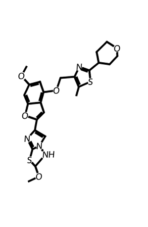 COc1cc(OCc2nc(C3CCOCC3)sc2C)c2cc(-c3cn4c(n3)SC(OC)N4)oc2c1